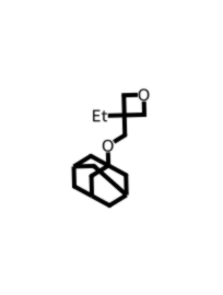 CCC1(COC23CC4CC(CC(C4)C2)C3)COC1